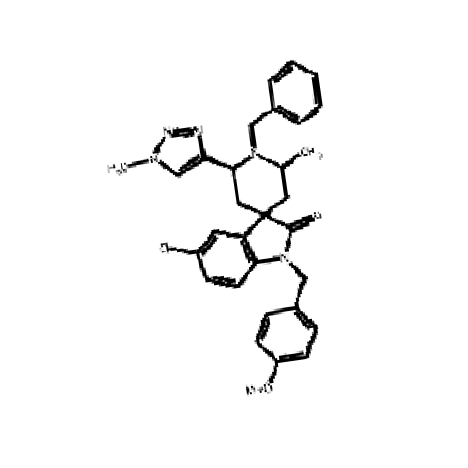 COc1ccc(CN2C(=O)C3(CC(C)N(Cc4ccccc4)C(c4cn(C)nn4)C3)c3cc(Cl)ccc32)cc1